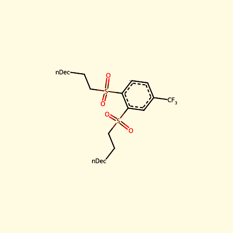 CCCCCCCCCCCCS(=O)(=O)c1[c]cc(C(F)(F)F)cc1S(=O)(=O)CCCCCCCCCCCC